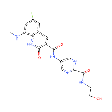 CNc1cc(F)cc2cc(C(=O)Nc3cnc(C(=O)NCCO)nc3)c(=O)[nH]c12